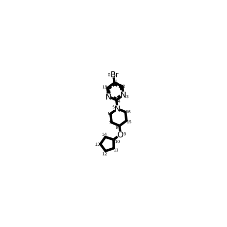 Brc1cnc(N2CCC(OC3CCCC3)CC2)nc1